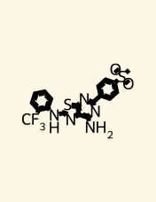 CS(=O)(=O)c1ccc(-c2nc(N)c3nc(Nc4ccccc4C(F)(F)F)sc3n2)cc1